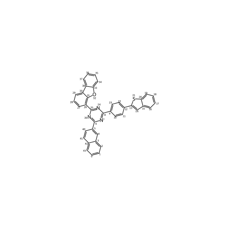 c1ccc2cc(-c3nc(-c4ccc(-c5cc6ccccc6s5)cc4)nc(-c4cccc5c4oc4ccccc45)n3)ccc2c1